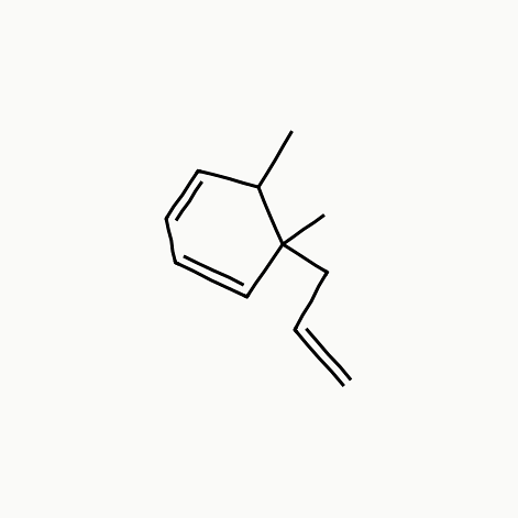 C=CCC1(C)C=CC=CC1C